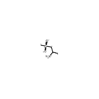 CC(N)CS(C)(=O)=O